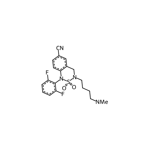 CNCCCCN1Cc2cc(C#N)ccc2N(c2c(F)cccc2F)S1(=O)=O